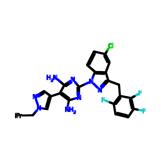 CC(C)Cn1cc(-c2c(N)nc(-n3nc(Cc4c(F)ccc(F)c4F)c4cc(Cl)ccc43)nc2N)cn1